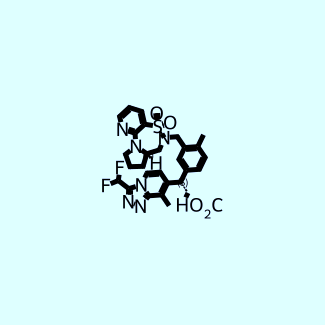 Cc1ccc([C@H](CC(=O)O)c2ccn3c(C(F)F)nnc3c2C)cc1CN1C[C@H]2CCCN2c2ncccc2S1(=O)=O